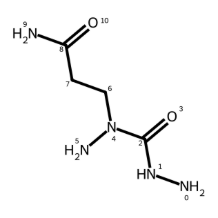 NNC(=O)N(N)CCC(N)=O